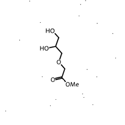 COC(=O)COCC(O)CO